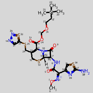 CO/N=C(\C(=O)N[C@@H]1C(=O)N2C(C(=O)OCOCC[Si](C)(C)C)=C(CSc3cnns3)CS[C@@H]12)c1csc(N)n1